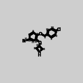 Clc1ccc(COc2ccc(Br)cc2OC2CNC2)cc1